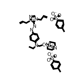 C=CCn1cn[n+](CC=C)c1N=Nc1ccc(N(CC)CC[N+]23CCN(CC2)CC3)cc1.Cc1ccc(S(=O)(=O)[O-])cc1.Cc1ccc(S(=O)(=O)[O-])cc1